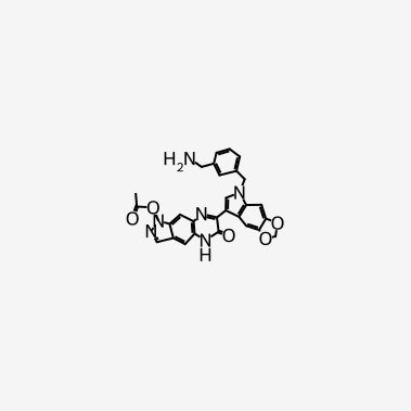 CC(=O)On1ncc2cc3[nH]c(=O)c(-c4cn(Cc5cccc(CN)c5)c5cc6c(cc45)OCO6)nc3cc21